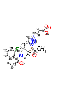 CC(=O)SC1CCN(C(C(=O)C2CC2)c2ccccc2F)CC1=Cc1cn(CCCC(=O)O)nn1